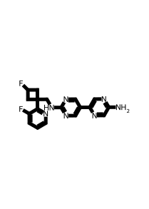 Nc1cnc(-c2cnc(NCC3(c4ncccc4F)CC(F)C3)nc2)cn1